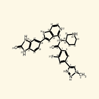 Cn1cc(-c2ccc(C(=O)N(c3nccc4sc(-c5ccc6[nH]c(=O)[nH]c6c5)cc34)[C@@H]3CCCNC3)c(F)c2)nn1